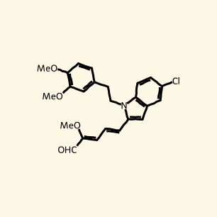 CO/C(C=O)=C\C=C\c1cc2cc(Cl)ccc2n1CCc1ccc(OC)c(OC)c1